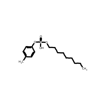 CCCCCCCCCOP(=O)(O)Oc1ccc(C)cc1